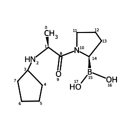 C[C@H](NC1CCCC1)C(=O)N1CCC[C@H]1B(O)O